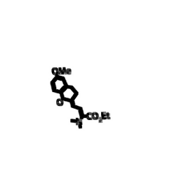 CCOC(=O)/C(=C/C=C1\CCc2cc(OC)ccc2C1=O)N(C)C